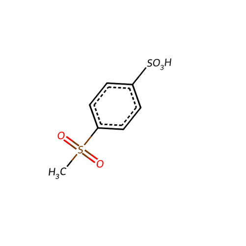 CS(=O)(=O)c1ccc(S(=O)(=O)O)cc1